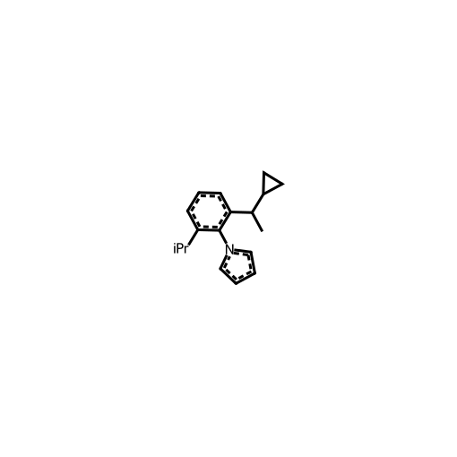 CC(C)c1cccc(C(C)C2CC2)c1-n1cccc1